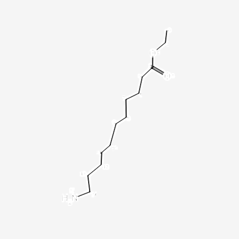 CCOC(=O)CCCCCCCCCCN